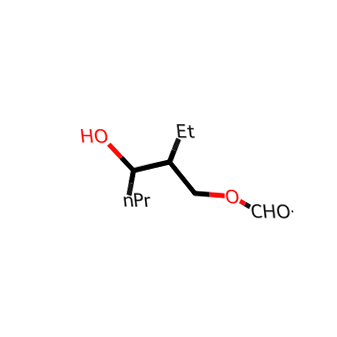 CCCC(O)C(CC)CO[C]=O